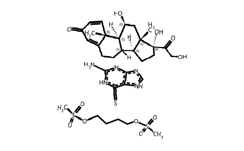 CS(=O)(=O)OCCCCOS(C)(=O)=O.C[C@]12C=CC(=O)C=C1CC[C@@H]1[C@@H]2[C@@H](O)C[C@@]2(C)[C@H]1CC[C@]2(O)C(=O)CO.Nc1nc2nc[nH]c2c(=S)[nH]1